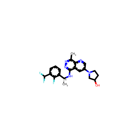 Cc1nnc(N[C@H](C)c2cccc(C(F)F)c2F)c2cc(N3CCC(O)C3)cnc12